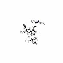 C=C(N=C/C(C)=C\C)C1(NSC(C)(C)C)CC(C)(C#N)C1